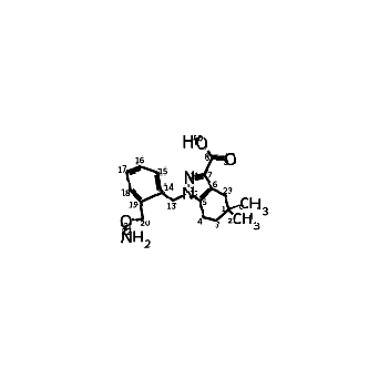 CC1(C)CCc2c(c(C(=O)O)nn2Cc2ccccc2CON)C1